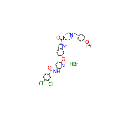 Br.CC(C)Oc1ccc(CN2CCN(C(=O)c3cc4ccc(Oc5ccc(NC(=O)c6ccc(Cl)c(Cl)c6)cn5)cc4n3C)CC2)cc1